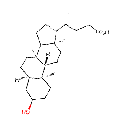 C[C@H](CCC(=O)O)[C@H]1CCC2[C@@H]3CC[C@@H]4C[C@H](O)CC[C@]4(C)[C@H]3CC[C@@]21C